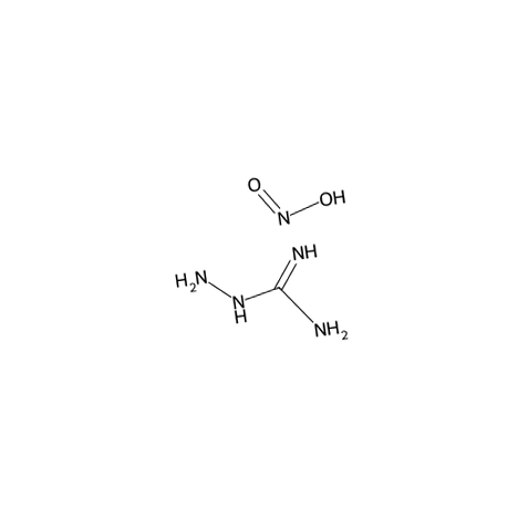 N=C(N)NN.O=NO